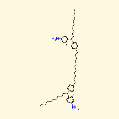 CCCCCCCCCCC(c1ccc(CCCCCCCCCCCc2ccc(C(CCCCCCCCCC)c3ccc(N)cc3C)cc2)cc1)c1ccc(N)cc1C